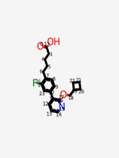 O=C(O)CCCCc1ccc(-c2cccnc2OCC2CCC2)cc1F